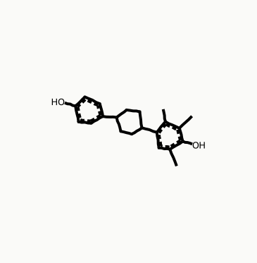 Cc1cc(C2CCC(c3ccc(O)cc3)CC2)c(C)c(C)c1O